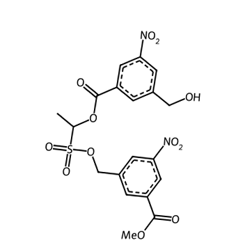 COC(=O)c1cc(COS(=O)(=O)C(C)OC(=O)c2cc(CO)cc([N+](=O)[O-])c2)cc([N+](=O)[O-])c1